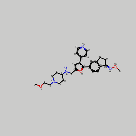 COCCN1CCC(NCc2cc(-c3ccncc3)c(-c3ccc4c(c3)CCC4=NOC)o2)CC1